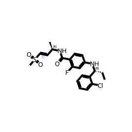 CC[C@@H](Nc1ccc(C(=O)N[C@H](C)/C=C/S(C)(=O)=O)c(F)c1)c1ccccc1Cl